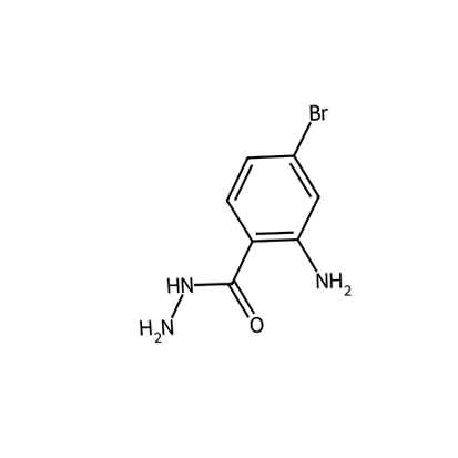 NNC(=O)c1ccc(Br)cc1N